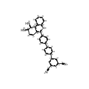 N#Cc1cc(C#N)cc(-c2ccc(-c3ccc(-c4nc5ccccc5c5c4C=CC(=N)C5=N)cc3)cc2)c1